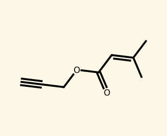 C#CCOC(=O)C=C(C)C